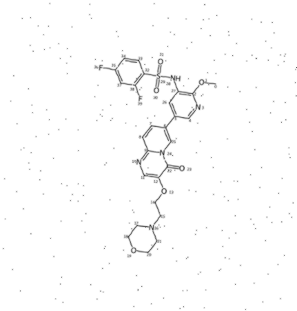 COc1ncc(-c2ccc3ncc(OCCN4CCOCC4)c(=O)n3c2)cc1NS(=O)(=O)c1ccc(F)cc1F